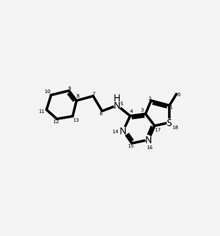 Cc1cc2c(NCCC3=CCCCC3)ncnc2s1